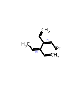 C=CC(=C/C)/C(C=C)=C\C(C)C